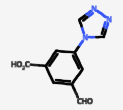 O=Cc1cc(C(=O)O)cc(-n2cnnc2)c1